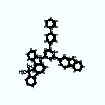 CC1(C)c2ccccc2-c2ccc3c(c21)c1ccccc1n3-c1cc(-c2ccc3c(c2)sc2ccccc23)nc(-c2ccc(-c3ccccc3)cc2)n1